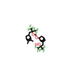 CC1C2CC(CC(OCOC3CC4CC(CC(O)(C(F)F)C(F)(F)F)C3C4)(C(F)(F)F)C(F)(F)F)C(C2)C1C